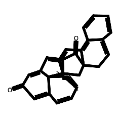 O=C1C=C2C=Cc3ccccc3C23C(=C1)C=C1C(=O)C24CC=c5ccccc5=C2C=CC13C4